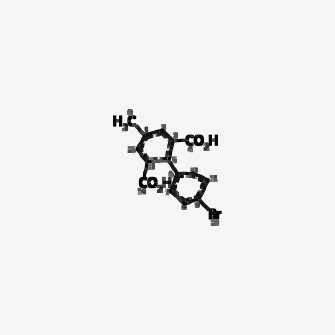 Cc1cc(C(=O)O)c(-c2ccc(Br)cc2)c(C(=O)O)c1